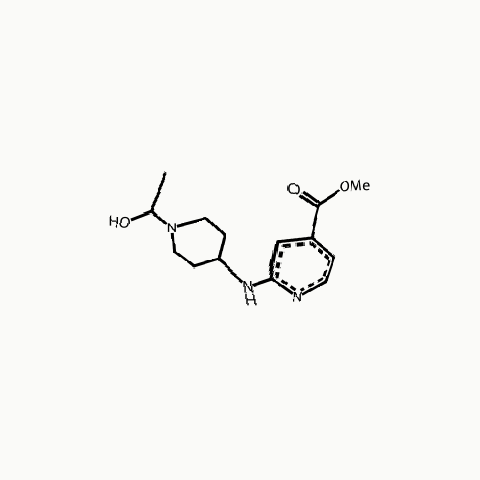 COC(=O)c1ccnc(NC2CCN(C(C)O)CC2)c1